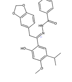 COc1cc(O)c(/C(Cc2ccc3c(c2)OCO3)=N/NC(=O)c2ccccc2)cc1C(C)C